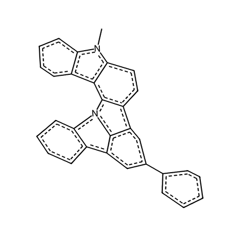 Cn1c2ccccc2c2c1ccc1c3cc(-c4ccccc4)cc4c5ccccc5n(c43)c12